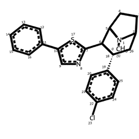 CN1C2CCC1C(c1ncc(-c3ccccc3)s1)[C@@H](c1ccc(Cl)cc1)C2